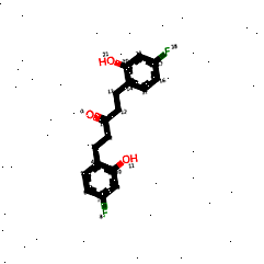 O=C(CCc1ccc(F)cc1O)CCc1ccc(F)cc1O